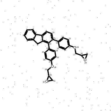 c1ccc2c(c1)Cc1c-2ccc(-c2ccc(OCC3CO3)cc2)c1-c1ccc(OCC2CO2)cc1